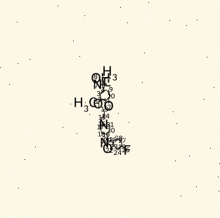 COc1cc(C(C)=NO)ccc1OCCCN1CCC(c2noc3cc(F)ccc23)CC1